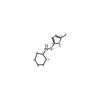 Cc1ccc(SNC2CCCCC2)s1